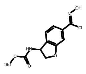 CC(C)(C)OC(=O)N[C@@H]1COc2cc(/C(Cl)=N/O)ccc21